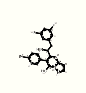 CC(C)c1ccc(-c2c(C(N)Cc3cc(F)cc(F)c3)nc3ccnn3c2O)cn1